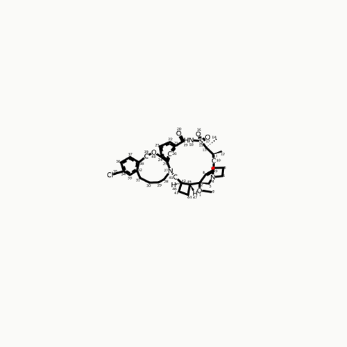 CO[C@@]1(CN2CCC2)/C=C/C[C@H](C)[C@@H](C)S(=O)(=O)NC(=O)c2ccc3c(c2)N(CCCCc2cc(Cl)ccc2CO3)C[C@@H]2CC[C@H]21